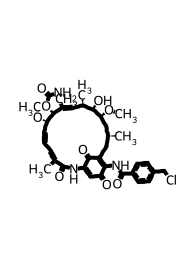 CO[C@H]1/C=C\C=C(/C)C(=O)NC2=CC(=O)C(NC(=O)c3ccc(CCl)cc3)=C(C[C@@H](C)C[C@H](OC)[C@H](O)[C@@H](C)/C=C(\C)[C@@H]1OC(N)=O)C2=O